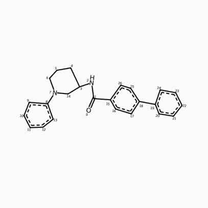 O=C(NC1CCCN(c2ccccc2)C1)c1ccc(-c2ccccc2)cc1